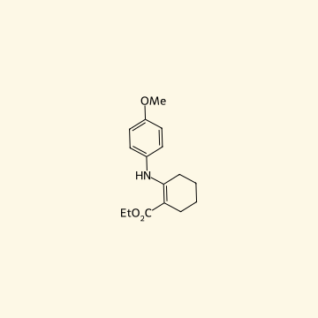 CCOC(=O)C1=C(Nc2ccc(OC)cc2)CCCC1